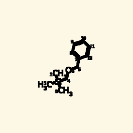 C[Si](C)(C)COCc1ccccc1